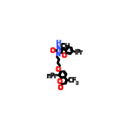 CCCc1c(OCCCCN2C(=O)NC(C)(c3ccc(C(C)C)cc3)C2=O)ccc2c(C(F)(F)F)cc(=O)oc12